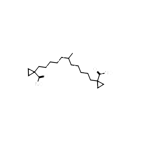 CC(CCCCCC1(C(=O)N=O)CC1)CCCCCC1(C(=O)N=O)CC1